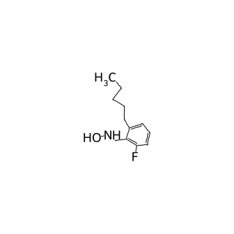 CCCCCc1cccc(F)c1CNO